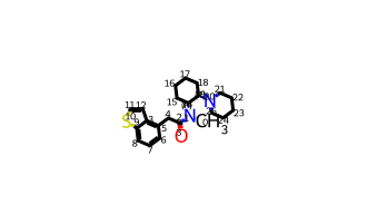 CN(C(=O)Cc1cccc2sccc12)[C@@H]1CCCC[C@H]1N1CCCCC1